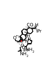 CC(C)[C@@H](C)[C@@]1(C)CC[C@]2(C)[C@H]3CC[C@@H]4[C@@]5(COC[C@]4(C)[C@@H](OC[C@](C)(N)C(C)C)[C@H](n4nccc4C(N)=O)C5)C3=CC[C@@]2(C)[C@@H]1C(=O)O